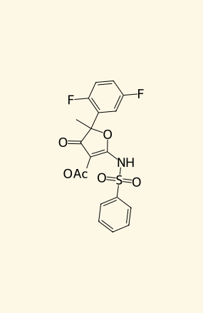 CC(=O)OC1=C(NS(=O)(=O)c2ccccc2)OC(C)(c2cc(F)ccc2F)C1=O